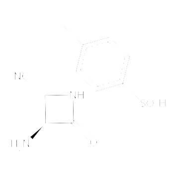 Cc1ccc(S(=O)(=O)O)cc1.N#C[C@@H]1NC(=O)[C@H]1N